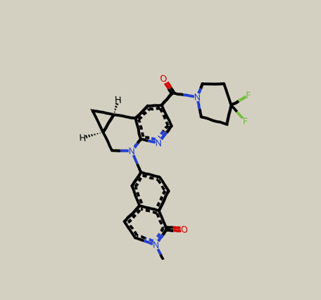 Cn1ccc2cc(N3C[C@H]4C[C@H]4c4cc(C(=O)N5CCC(F)(F)CC5)cnc43)ccc2c1=O